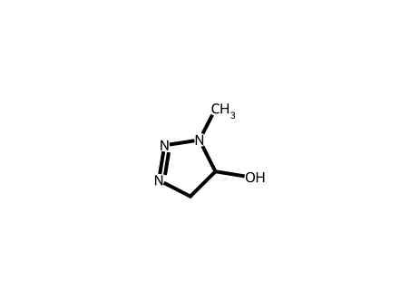 CN1N=NCC1O